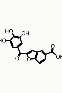 O=C(O)c1ccc2oc(C(=O)c3cc(O)c(O)c(O)c3)cc2c1